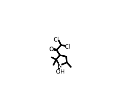 CC1CC(C(=O)C(Cl)Cl)C(C)(C)N1O